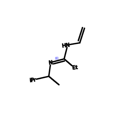 C=CN/C(CC)=N/C(C)C(C)C